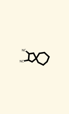 N#CC1CC2(CCCCCC2)CC1C#N